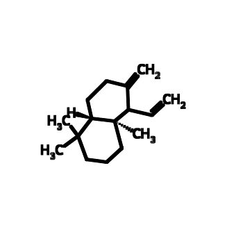 C=CC1C(=C)CC[C@H]2C(C)(C)CCC[C@]12C